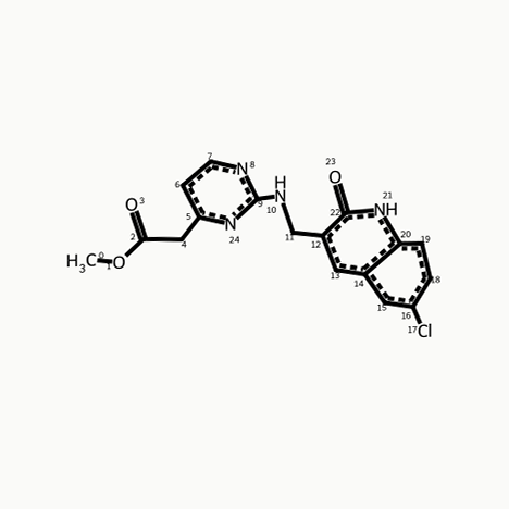 COC(=O)Cc1ccnc(NCc2cc3cc(Cl)ccc3[nH]c2=O)n1